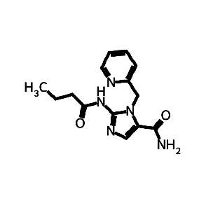 CCCC(=O)Nc1ncc(C(N)=O)n1Cc1ccccn1